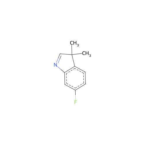 CC1(C)C=Nc2cc(F)ccc21